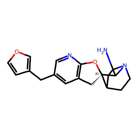 NC1N2CCC(CC2)[C@]12Cc1cc(Cc3ccoc3)cnc1O2